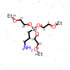 CCOCCO[Si](CCCN)(OCCOCC)OCCOCC